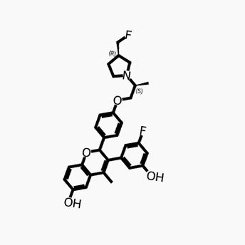 CC1=C(c2cc(O)cc(F)c2)C(c2ccc(OC[C@H](C)N3CC[C@@H](CF)C3)cc2)Oc2ccc(O)cc21